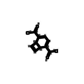 O=C(Cl)C1=CC=C(C(=O)Cl)C2C=CC12